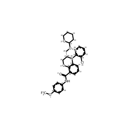 O=C(Nc1ccc(OC(F)(F)F)cc1)c1cccc2c1OC[C@H](COC1CCCCO1)N2c1ncccc1Cl